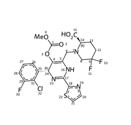 COC(=O)OC1=C(CN2CC(F)(F)CC[C@@H]2C(=O)O)NC(c2nccs2)=N[C@@H]1c1cccc(F)c1Cl